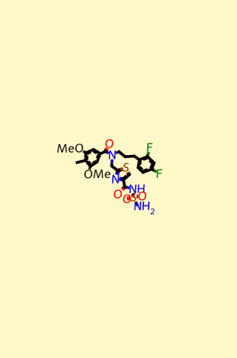 COc1cc(C(=O)N(CCCc2ccc(F)cc2F)Cc2nc(C(=O)NS(N)(=O)=O)cs2)cc(OC)c1C